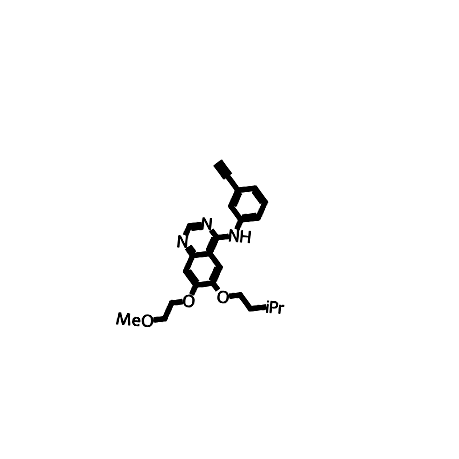 C#Cc1cccc(Nc2ncnc3cc(OCCOC)c(OCCC(C)C)cc23)c1